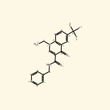 CCn1cc(C(=O)NCc2ccncc2)c(=O)c2cc(C(F)(F)F)ccc21